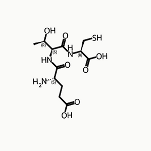 C[C@@H](O)[C@H](NC(=O)[C@@H](N)CCC(=O)O)C(=O)N[C@@H](CS)C(=O)O